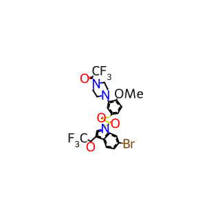 COc1ccc(S(=O)(=O)n2cc(C(=O)C(F)(F)F)c3ccc(Br)cc32)cc1N1CCN(C(=O)C(F)(F)F)CC1